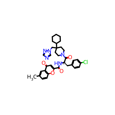 Cc1ccc2oc(C(=O)N[C@H](Cc3ccc(Cl)cc3)C(=O)N3CCC(Cn4cncn4)(C4CCCCC4)CC3)cc(=O)c2c1